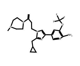 C=C(CCn1cc(-c2cnc(N)c(OC(F)(F)F)c2)nc1CC1CC1)N1CCN(C)CC1